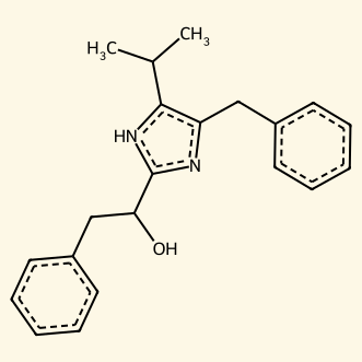 CC(C)c1[nH]c(C(O)Cc2ccccc2)nc1Cc1ccccc1